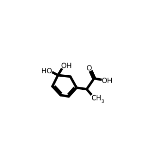 CC(C(=O)O)C1=CC=CC(O)(O)C1